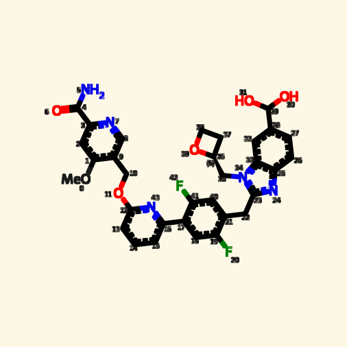 COc1cc(C(N)=O)ncc1COc1cccc(-c2cc(F)c(Cc3nc4ccc(C(O)O)cc4n3C[C@@H]3CCO3)cc2F)n1